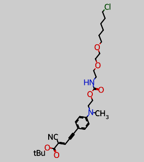 CN(CCOC(=O)NCCOCCOCCCCCCCl)c1ccc(C#C/C=C(\C#N)C(=O)OC(C)(C)C)cc1